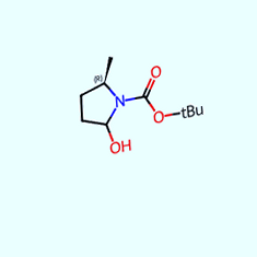 C[C@@H]1CCC(O)N1C(=O)OC(C)(C)C